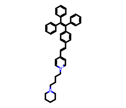 C(=C\c1cc[n+](CCCCN2CCCCC2)cc1)/c1ccc(C(=C(c2ccccc2)c2ccccc2)c2ccccc2)cc1